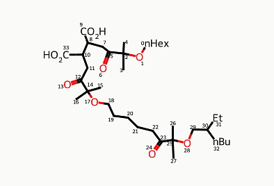 CCCCCCOC(C)(C)C(=O)CC(C(=O)O)C(CC(=O)C(C)(C)OCCCCCC(=O)C(C)(C)OCC(CC)CCCC)C(=O)O